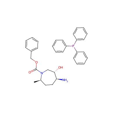 C[C@@H]1CC[C@H](N)[C@@H](O)CN1C(=O)OCc1ccccc1.c1ccc(P(c2ccccc2)c2ccccc2)cc1